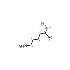 CCNC(CCCCNC)C(C)=O